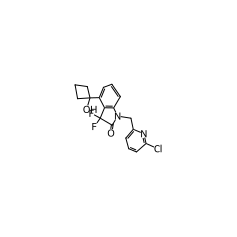 O=C1N(Cc2cccc(Cl)n2)c2cccc(C3(O)CCC3)c2C1(F)F